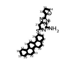 Nc1nc(Sc2ccc3ccc4c(ccc5c6ccccc6ccc54)c3c2)cc2nc(-c3ccco3)nn12